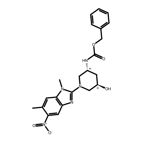 Cc1cc2c(cc1[N+](=O)[O-])nc(N1C[C@H](O)C[C@@H](NC(=O)OCc3ccccc3)C1)n2C